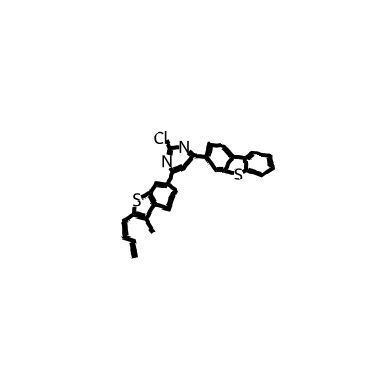 C=C/C=C\c1sc2cc(-c3cc(-c4ccc5c(c4)sc4ccccc45)nc(Cl)n3)ccc2c1C